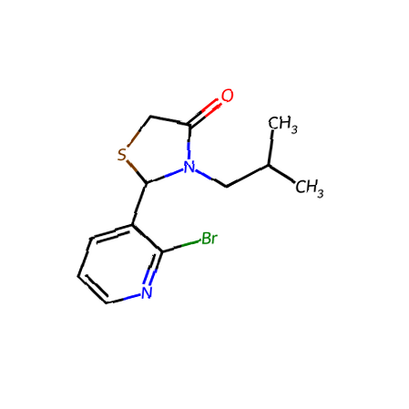 CC(C)CN1C(=O)CSC1c1cccnc1Br